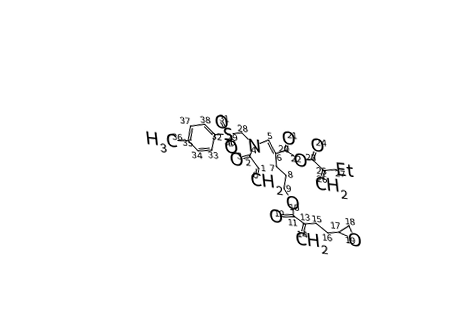 C=CC(=O)N(C=C(CCCOC(=O)C(=C)CCC1CO1)C(=O)OC(=O)C(=C)CC)CS(=O)(=O)c1ccc(C)cc1